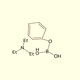 CCN(CC)CC.OB(O)Oc1ccccc1